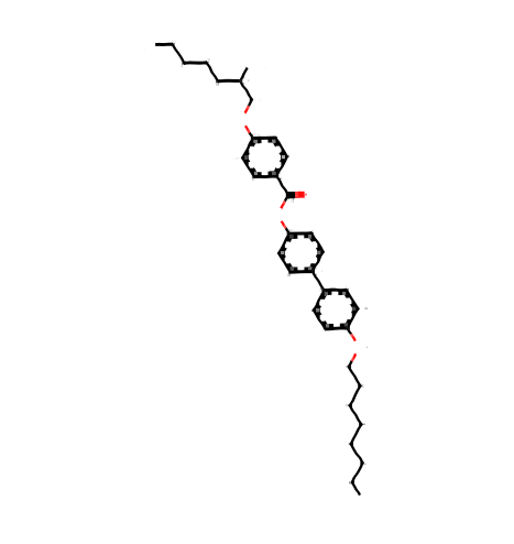 CCCCCCCCOc1ccc(-c2ccc(OC(=O)c3ccc(OCC(C)CCCCC)cc3)cc2)cc1